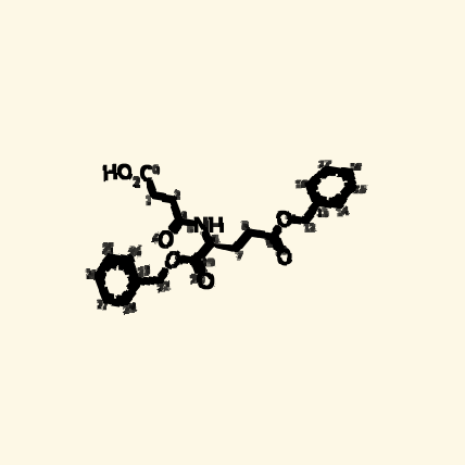 O=C(O)CCC(=O)N[C@@H](CCC(=O)OCc1ccccc1)C(=O)OCc1ccccc1